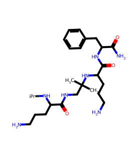 CC(C)NC(CCCN)C(=O)NCC(C)(C)NC(CCCN)C(=O)NC(Cc1ccccc1)C(N)=O